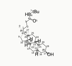 C[C@H](CCC(=O)BC(C)(C)C)[C@H]1CC[C@H]2[C@@H]3CC[C@@H]4C[C@H](O)CC[C@]4(C)[C@H]3CC[C@]12C